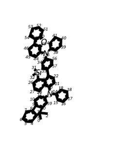 CC1(C)c2ccccc2-c2ccc(N(c3ccccc3)c3ccc4c5c(cccc35)[Si](C)(C)c3cc(N(c5ccccc5)c5cccc6c5oc5ccccc56)ccc3-4)cc21